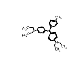 CCN(CC)c1ccc(C(c2ccc(C)cc2)c2ccc(N(CC)CC)cc2)cc1